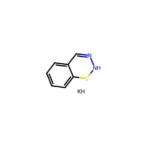 C1=NNSc2ccccc21.[KH]